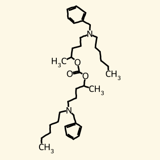 CCCCCCN(CCCC(C)OC(=O)OC(C)CCCN(CCCCCC)Cc1ccccc1)Cc1ccccc1